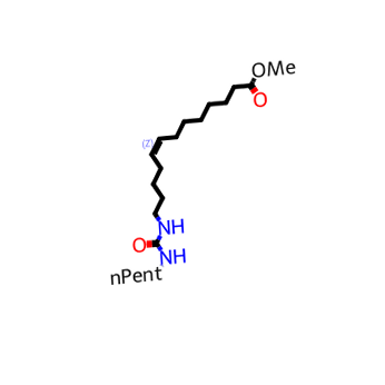 CCCCCNC(=O)NCCCC/C=C\CCCCCCC(=O)OC